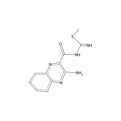 CSC(=N)NC(=O)c1nc2ccccc2nc1N